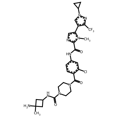 Cn1c(-c2cn(C3CC3)nc2C(F)(F)F)cnc1C(=O)Nc1ccc(C(=O)N2CCN(C(=O)NC3CC(C)(N)C3)CC2)c(Cl)c1